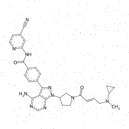 CN(C/C=C/C(=O)N1CCC(n2nc(-c3ccc(C(=O)Nc4cc(C#N)ccn4)cc3)c3c(N)ncnc32)C1)C1CC1